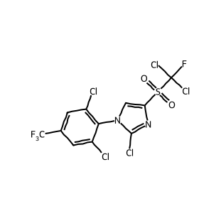 O=S(=O)(c1cn(-c2c(Cl)cc(C(F)(F)F)cc2Cl)c(Cl)n1)C(F)(Cl)Cl